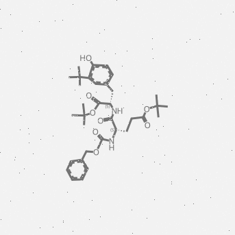 CC(C)(C)OC(=O)CC[C@H](NC(=O)OCc1ccccc1)C(=O)N[C@@H](Cc1ccc(O)c(C(C)(C)C)c1)C(=O)OC(C)(C)C